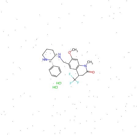 COc1cc2c(cc1CN[C@H]1CCCN[C@H]1c1ccccc1)C(C(F)(F)F)CC(=O)N2C.Cl.Cl